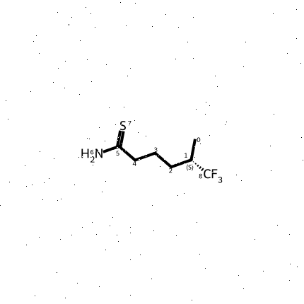 C[C@@H](CCCC(N)=S)C(F)(F)F